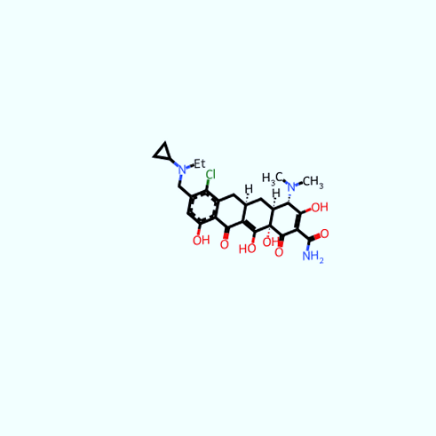 CCN(Cc1cc(O)c2c(c1Cl)C[C@H]1C[C@H]3[C@H](N(C)C)C(O)=C(C(N)=O)C(=O)[C@@]3(O)C(O)=C1C2=O)C1CC1